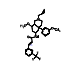 COc1cccc(C23CCN(CC4CC4)CC2C(OC)CC(NC(=O)/C=C/c2cccc(C(F)(F)F)c2)C3)c1